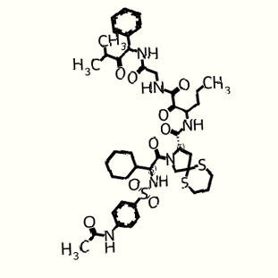 CCCC(NC(=O)[C@@H]1CC2(CN1C(=O)[C@@H](NS(=O)(=O)c1ccc(NC(C)=O)cc1)C1CCCCC1)SCCCS2)C(=O)C(=O)NCC(=O)NC(C(=O)C(C)C)c1ccccc1